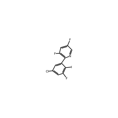 Fc1cnc(-c2cc(Cl)cc(F)c2I)c(F)c1